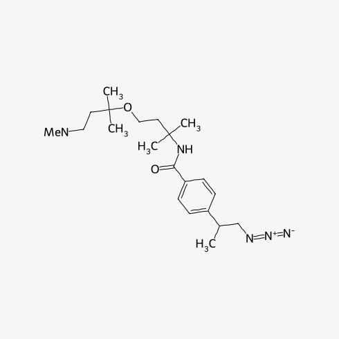 CNCCC(C)(C)OCCC(C)(C)NC(=O)c1ccc(C(C)CN=[N+]=[N-])cc1